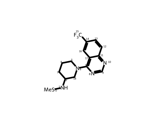 CSNC1CCCN(c2ncnc3ccc(C(F)(F)F)cc23)C1